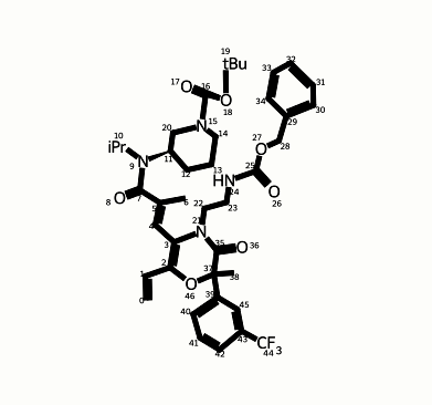 C=CC1=C(/C=C(\C)C(=O)N(C(C)C)[C@@H]2CCCN(C(=O)OC(C)(C)C)C2)N(CCNC(=O)OCc2ccccc2)C(=O)C(C)(c2cccc(C(F)(F)F)c2)O1